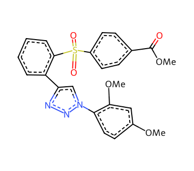 COC(=O)c1ccc(S(=O)(=O)c2ccccc2-c2cn(-c3ccc(OC)cc3OC)nn2)cc1